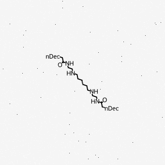 CCCCCCCCCCCC(=O)NCCNCCCCCCNCCNC(=O)CCCCCCCCCCC